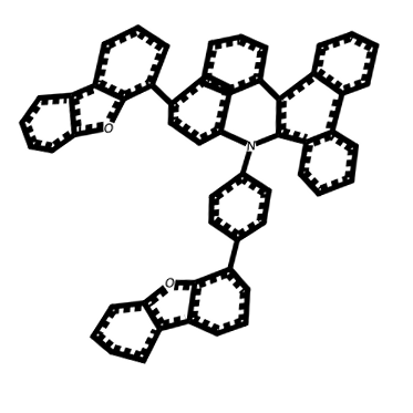 c1ccc(-c2c(N(c3ccc(-c4cccc5c4oc4ccccc45)cc3)c3ccc(-c4cccc5c4oc4ccccc45)cc3)c3ccccc3c3ccccc23)cc1